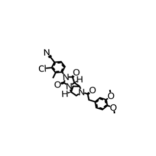 COc1ccc(CC(=O)N2C[C@H]3CC2[C@H]2C(=O)N(c4ccc(C#N)c(Cl)c4C)C(=O)N32)cc1OC